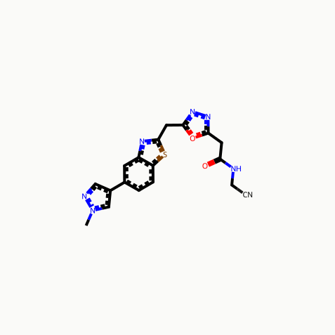 Cn1cc(-c2ccc3sc(Cc4nnc(CC(=O)NCC#N)o4)nc3c2)cn1